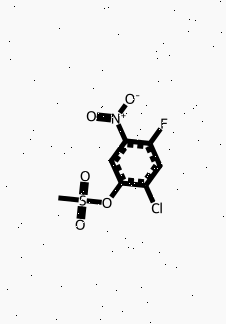 CS(=O)(=O)Oc1cc([N+](=O)[O-])c(F)cc1Cl